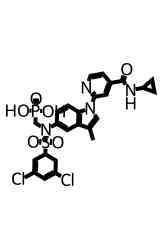 Cc1cn(-c2cc(C(=O)NC3CC3)ccn2)c2ccc(N(CP(=O)(O)O)S(=O)(=O)C3C=C(Cl)C=C(Cl)C3)cc12